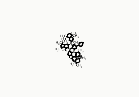 Cc1cc2c(cc1N1c3cc4c(cc3B3c5ccc6sc7cc8c(cc7c6c5N(c5ccccc5C)c5cc(-c6ccccc6)cc1c53)C(C)(C)CCC8(C)C)C(C)(C)CC4(C)C)C(C)(C)CCC2(C)C